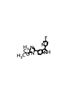 CC(C)Oc1cncc(-c2ccc3[nH]cc(-c4ccc(F)cn4)c3c2)n1